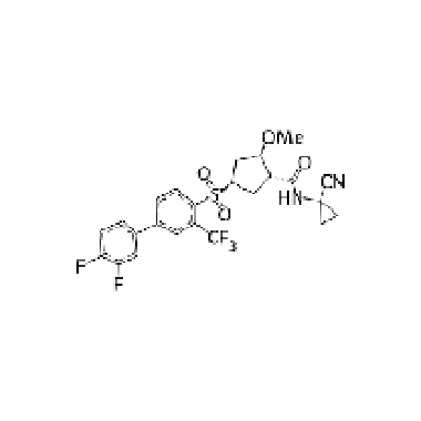 CO[C@@H]1C[C@H](S(=O)(=O)c2ccc(-c3ccc(F)c(F)c3)cc2C(F)(F)F)C[C@H]1C(=O)NC1(C#N)CC1